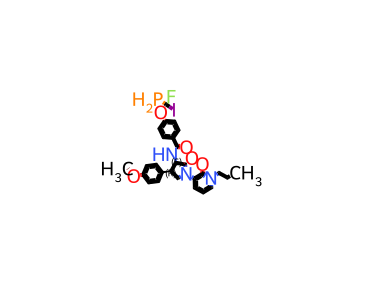 CCCn1cccc(N2C[C@@H](c3ccc(OC)cc3)[C@H](NC(=O)c3ccc(OC(F)(P)I)cc3)C2=O)c1=O